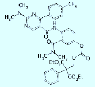 CCOC(=O)C(COC(=O)Oc1ccc(NC(=O)c2cnc(N(C)C)nc2-c2ccc(C(F)(F)F)cc2)c(C(=O)N(C)C)c1)(C(=O)OCC)c1ccccc1